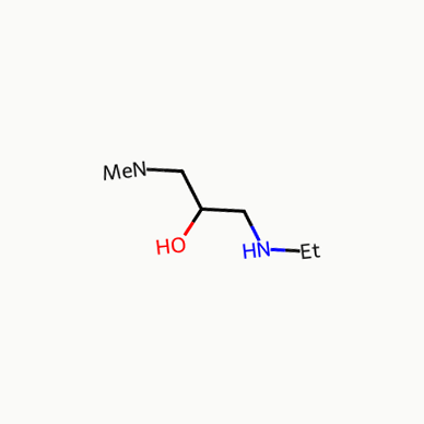 CCNCC(O)CNC